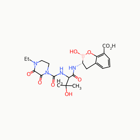 CCN1CCN(C(=O)NC(C(=O)N[C@H]2Cc3cccc(C(=O)O)c3OB2O)C(C)(C)O)C(=O)C1=O